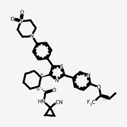 C/C=C(\Oc1ccc(-c2nc([C@@H]3CCCC[C@H]3C(=O)NC3(C#N)CC3)c(-c3ccc(N4CCS(=O)(=O)CC4)cc3)s2)cn1)C(F)(F)F